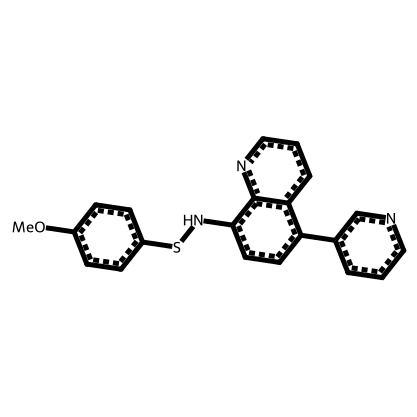 COc1ccc(SNc2ccc(-c3cccnc3)c3cccnc23)cc1